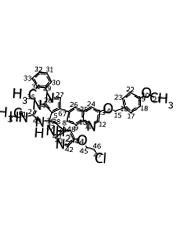 CNC1=Nc2c(c(-c3ccc4ncc(OCc5ccc(OC)cc5)cc4c3)cn2-c2ccccc2C)C(N)(Cc2cncc(OCCCl)c2)N1